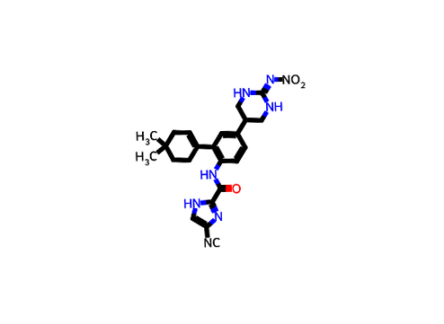 [C-]#[N+]c1c[nH]c(C(=O)Nc2ccc(C3CNC(=N[N+](=O)[O-])NC3)cc2C2=CCC(C)(C)CC2)n1